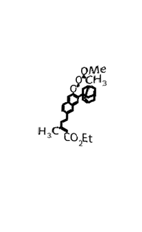 CCOC(=O)C=C(C)C=Cc1ccc2cc(OCOC(C)OC)c(C34CC5CC(CC(C5)C3)C4)cc2c1